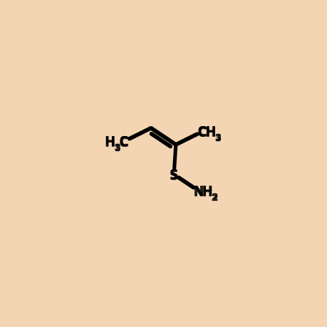 C/C=C(/C)SN